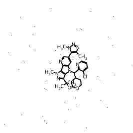 Cc1nnn(C)c1-c1cnc2c3c(c(C(C)(C)O)nn3C)n(C(c3ncccc3Cl)C3CCOCC3)c2c1